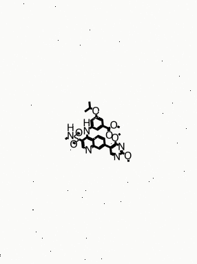 CNS(=O)(=O)c1cnc2cc(-c3cnc(OC)nc3OC)ccc2c1Nc1cc(OC(C)C)cc(C(=O)OC)c1